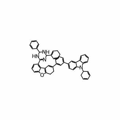 C1=CCC(n2c3ccccc3c3cc(-c4cccc(C5=Cc6c(oc7cccc(C8=NC(C9=CCCC=C9)NC(c9ccccc9)N8)c67)CC5)c4)ccc32)C=C1